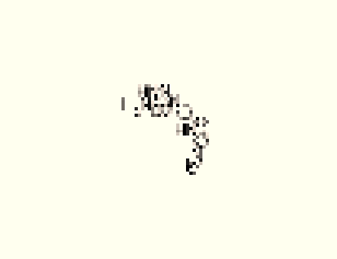 CN(C(=O)c1nc[nH]c1C(N)=O)[C@H]1CC[C@H](C(=O)Nc2cc(N3CCOCC3)ccc2Cl)CC1